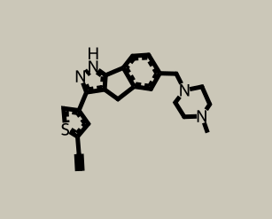 C#Cc1cc(-c2n[nH]c3c2Cc2cc(CN4CCN(C)CC4)ccc2-3)cs1